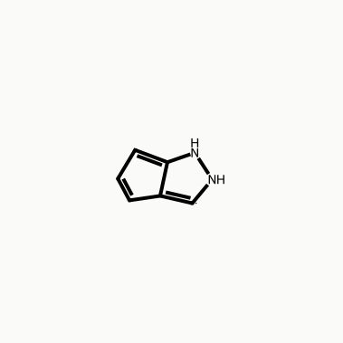 [c]1[nH][nH]c2cccc1-2